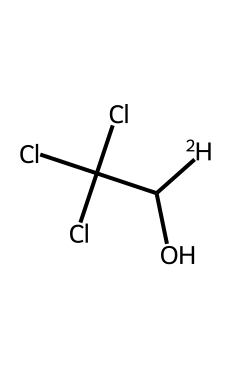 [2H]C(O)C(Cl)(Cl)Cl